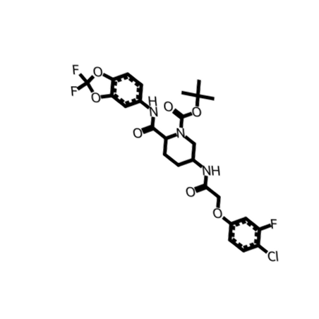 CC(C)(C)OC(=O)N1CC(NC(=O)COc2ccc(Cl)c(F)c2)CCC1C(=O)Nc1ccc2c(c1)OC(F)(F)O2